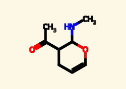 CNC1OC=CCC1C(C)=O